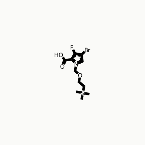 C[Si](C)(C)CCOCn1cc(Br)c(F)c1C(=O)O